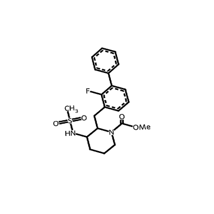 COC(=O)N1CCCC(NS(C)(=O)=O)C1Cc1cccc(-c2ccccc2)c1F